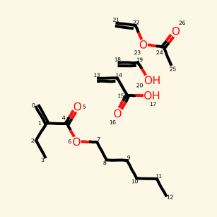 C=C(CC)C(=O)OCCCCCC.C=CC(=O)O.C=CO.C=COC(C)=O